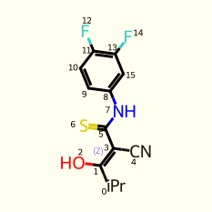 CC(C)/C(O)=C(\C#N)C(=S)Nc1ccc(F)c(F)c1